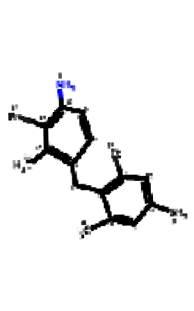 Bc1cc(C)c(Cc2ccc(N)c(C(C)C)c2C)c(CC)c1